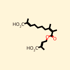 CC(=CCCCCC(C)=C(C)C(=O)OCC=C(C)C(=O)O)C(=O)O